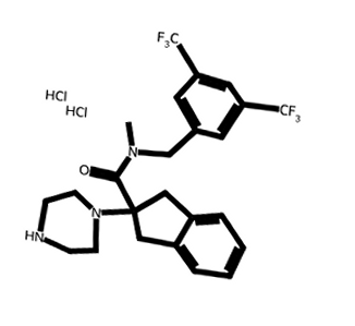 CN(Cc1cc(C(F)(F)F)cc(C(F)(F)F)c1)C(=O)C1(N2CCNCC2)Cc2ccccc2C1.Cl.Cl